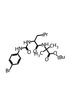 CC(C)CC(NC(=O)Nc1ccc(Br)cc1)C(=O)NC(C)(C)C(=O)OC(C)(C)C